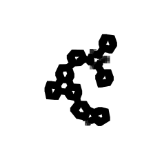 c1ccc(C2=NC(c3cccc(-c4ccc5c6ccccc6c6cc(-c7ccc8sc9ccccc9c8c7)ccc6c5c4)c3)=NC(c3ccccc3)N2)cc1